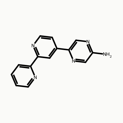 Nc1cnc(-c2ccnc(-c3ccccn3)c2)cn1